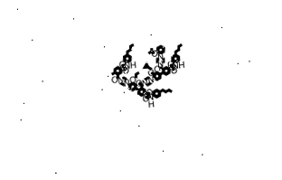 CCCCc1ccc(NS(=O)(=O)c2ccc(C)c(C(=O)N3CCN(c4ccc(-c5ccc(S(=O)(=O)Nc6ccc(CCCC)cc6)cc5C(=O)N5CCN(c6ccc(-c7ccc(S(=O)(=O)Nc8ccc(CCCC)cc8)cc7C(=O)N7CCN(c8ccccc8OC(C)C)CC7)cc6OCC6CC6)CC5)cc4OCCC)CC3)c2)cc1